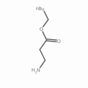 CCCCCOC(=O)CCN